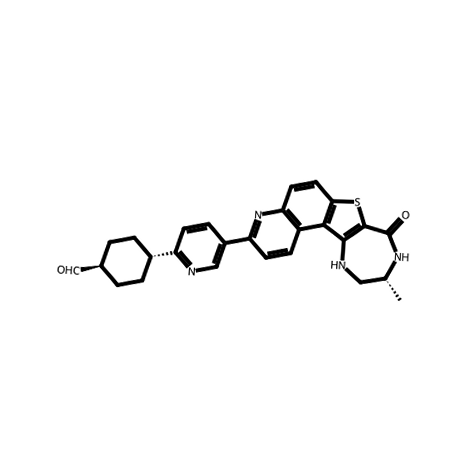 C[C@@H]1CNc2c(sc3ccc4nc(-c5ccc([C@H]6CC[C@H](C=O)CC6)nc5)ccc4c23)C(=O)N1